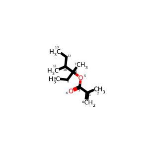 C=C(C)C(=O)OC(C)(CC)C(C)CC